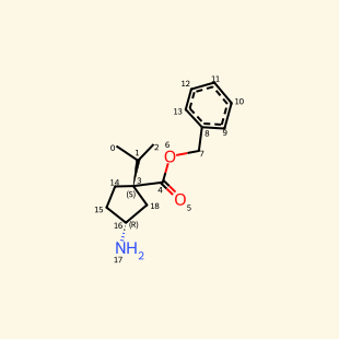 CC(C)[C@]1(C(=O)OCc2ccccc2)CC[C@@H](N)C1